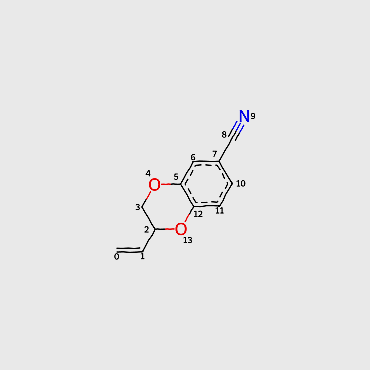 C=CC1COc2cc(C#N)ccc2O1